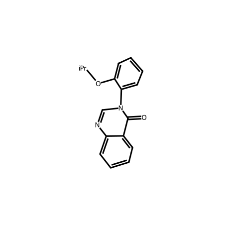 CC(C)Oc1ccccc1-n1cnc2ccccc2c1=O